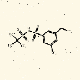 O=S(=O)(NS(=O)(=O)C(C(F)(F)F)(C(F)(F)F)C(F)(F)F)c1cc(CC(F)(F)F)cc(C(F)(F)F)c1